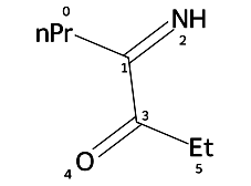 [CH2]CCC(=N)C(=O)CC